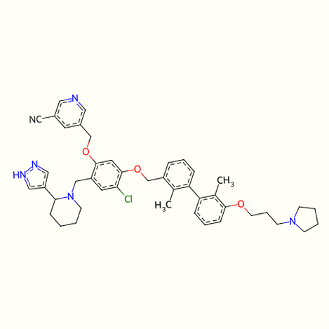 Cc1c(COc2cc(OCc3cncc(C#N)c3)c(CN3CCCCC3c3cn[nH]c3)cc2Cl)cccc1-c1cccc(OCCCN2CCCC2)c1C